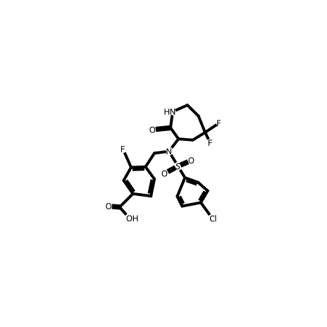 O=C(O)c1ccc(CN(C2CC(F)(F)CCNC2=O)S(=O)(=O)c2ccc(Cl)cc2)c(F)c1